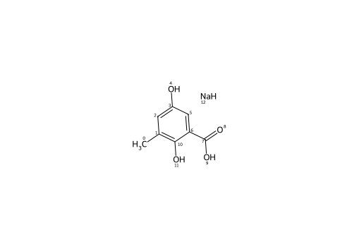 Cc1cc(O)cc(C(=O)O)c1O.[NaH]